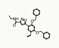 C=Cc1cc(-c2cc(C(=O)NCC)no2)c(OCc2ccccc2)cc1OCc1ccccc1